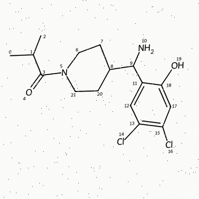 CC(C)C(=O)N1CCC(C(N)c2cc(Cl)c(Cl)cc2O)CC1